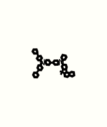 CC1(C)c2cc(N(c3ccccc3)c3ccc(-c4ccc(N(c5ccc(-c6ccccc6)cc5)c5ccc(-c6ccccc6)cc5)cc4)cc3)ccc2-c2c1ccc1ccccc21